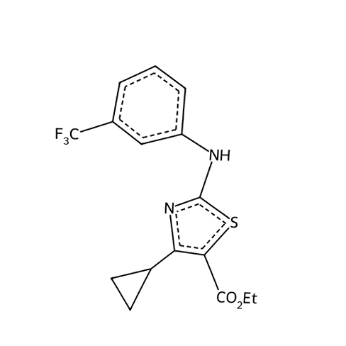 CCOC(=O)c1sc(Nc2cccc(C(F)(F)F)c2)nc1C1CC1